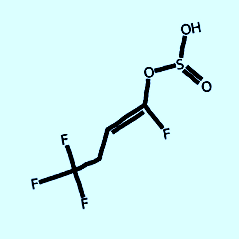 O=S(O)OC(F)=CCC(F)(F)F